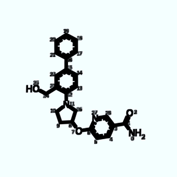 NC(=O)c1ccc(OC2CCN(c3ccc(-c4ccccc4)cc3CO)C2)nc1